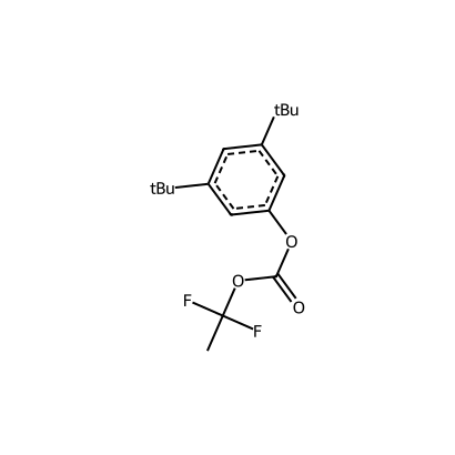 CC(F)(F)OC(=O)Oc1cc(C(C)(C)C)cc(C(C)(C)C)c1